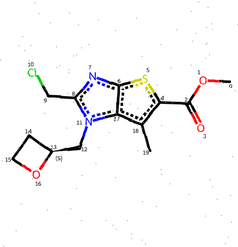 COC(=O)c1sc2nc(CCl)n(C[C@@H]3CCO3)c2c1C